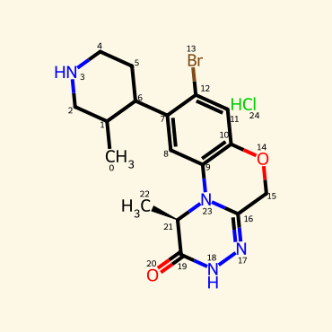 CC1CNCCC1c1cc2c(cc1Br)OCC1=NNC(=O)[C@@H](C)N12.Cl